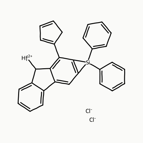 [Cl-].[Cl-].[Hf+2][CH]1c2ccccc2-c2cc3c(c(C4=CC=CC4)c21)[Si]3(c1ccccc1)c1ccccc1